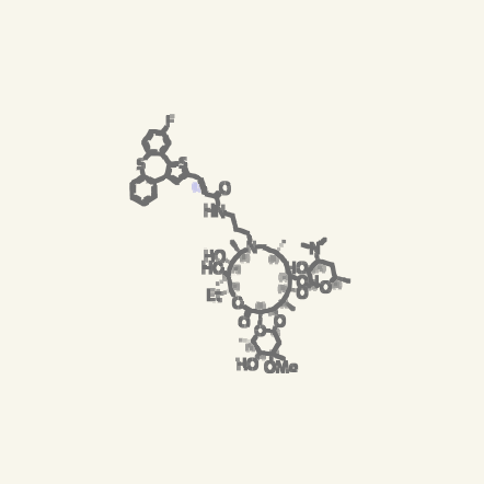 CC[C@H]1OC(=O)[C@H](C)[C@@H](O[C@H]2C[C@@](C)(OC)[C@@H](O)[C@H](C)O2)[C@H](C)[C@@H](O[C@@H]2O[C@H](C)C[C@H](N(C)C)[C@H]2O)[C@](C)(O)C[C@@H](C)CN(CCCNC(=O)/C=C/c2cc3c(s2)-c2cc(F)ccc2Sc2ccccc2-3)[C@H](C)[C@@H](O)[C@]1(C)O